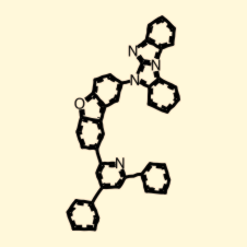 c1ccc(-c2cc(-c3ccccc3)nc(-c3ccc4oc5ccc(-n6c7ccccc7n7c8ccccc8nc67)cc5c4c3)c2)cc1